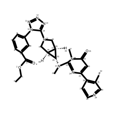 CCOC(=O)c1cccc(-n2nnnc2N2C[C@@H]3[C@H](C2)[C@H]3N(C)c2nc(-c3ccncc3F)cc(=O)n2C)c1